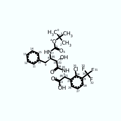 CC(C)(C)OC(=O)N[C@H](Cc1ccccc1)[C@H](O)C(=O)N[C@@H](C(=O)O)c1cccc(C(F)(F)F)c1Cl